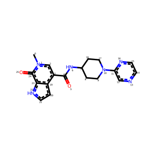 Cn1cc(C(=O)NC2CCN(c3cnccn3)CC2)c2cc[nH]c2c1=O